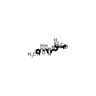 Cc1ccc(NC(=O)Nc2cncc(-c3ccc(OCC4(C)COC4)c(C)n3)n2)cn1